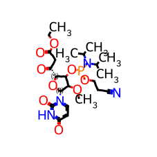 CCOC(=O)CC(=O)[C@H]1O[C@@H](n2ccc(=O)[nH]c2=O)C(OC)C1OP(OCCC#N)N(C(C)C)C(C)C